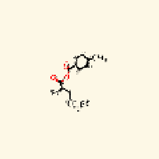 CCOC(=O)CC(CC)C(=O)OC(=O)C1CCC(C)CC1